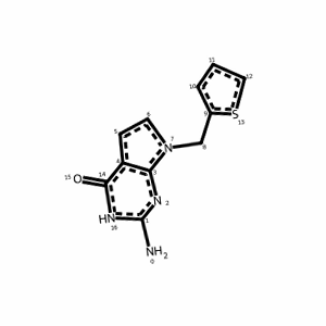 Nc1nc2c(ccn2Cc2cccs2)c(=O)[nH]1